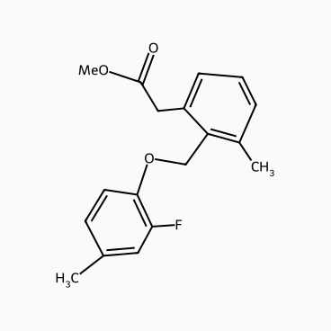 COC(=O)Cc1cccc(C)c1COc1ccc(C)cc1F